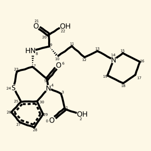 O=C(O)CN1C(=O)[C@@H](N[C@@H](CCCCN2CCCCC2)C(=O)O)CSc2ccccc21